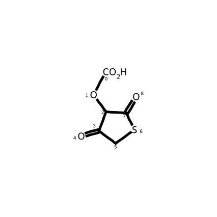 O=C(O)OC1C(=O)CSC1=O